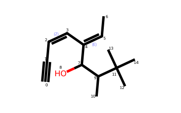 C#C/C=C\C(=C/C)C(O)C(C)C(C)(C)C